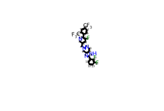 Fc1cc(CN2Cc3nc(-c4cccc(F)c4F)[nH]c3C=N2)cnc1-c1ccc(C(F)(F)F)cc1C(F)(F)F